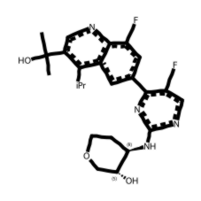 CC(C)c1c(C(C)(C)O)cnc2c(F)cc(-c3nc(N[C@@H]4CCOC[C@H]4O)ncc3F)cc12